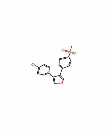 CS(=O)(=O)c1ccc(-c2cocc2-c2ccc(Cl)cc2)cc1